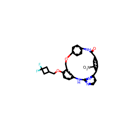 O=C1Nc2ccc(cc2)OCc2cc(ccc2OCC2CC(F)(F)C2)Nc2nccc(n2)-c2ccc1cc2[N+](=O)[O-]